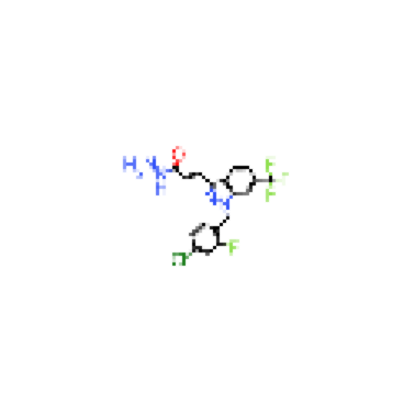 NNC(=O)C=Cc1nn(Cc2ccc(Cl)cc2F)c2cc(C(F)(F)F)ccc12